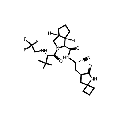 CC(C)(C)[C@H](NCC(F)(F)F)C(=O)N1C[C@@H]2CCC[C@@H]2[C@H]1C(=O)N[C@H](C#N)C[C@@H]1CC2(CCC2)NC1=O